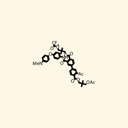 CNc1ccc(Oc2ccc(NC(=O)c3cc(-c4ccc(C(=O)OCC(C)(C)COC(C)=O)c(C(C)=O)c4)ccc3C(=O)OCC(C)(C)COC(=O)C(F)(F)F)cc2)cc1